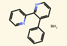 [BiH3].c1ccc(-c2cccnc2-c2ccccn2)cc1